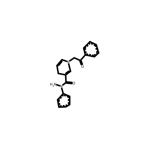 NN(C(=O)C1=CN(CC(=O)c2ccccc2)C=CC1)c1ccccc1